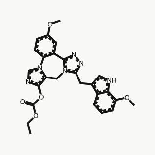 CCOC(=O)Oc1ncn2c1Cn1c(Cc3c[nH]c4c(OC)cccc34)nnc1-c1cc(OC)ccc1-2